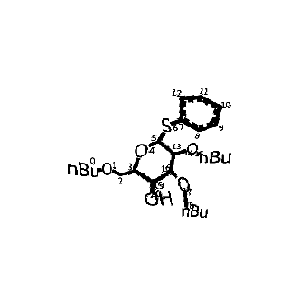 CCCCOCC1OC(Sc2ccccc2)C(OCCCC)C(OCCCC)C1O